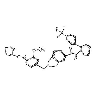 COc1cc(CN2CCc3cc(NC(=O)c4ccccc4-c4ccc(C(F)(F)F)cc4)ccc3C2)ccc1OCc1ccccc1